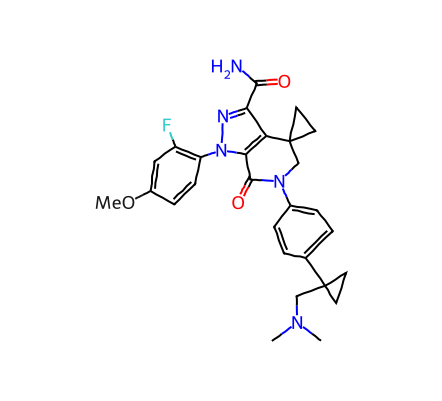 COc1ccc(-n2nc(C(N)=O)c3c2C(=O)N(c2ccc(C4(CN(C)C)CC4)cc2)CC32CC2)c(F)c1